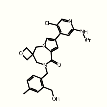 Cc1ccc(CN2CC3(COC3)Cn3cc(-c4cc(NC(C)C)ncc4Cl)cc3C2=O)c(CO)c1